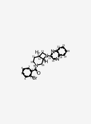 O=C(c1ccccc1Br)N1CC[C@H]2CN(c3cnc4ccccc4n3)[C@H]2C1